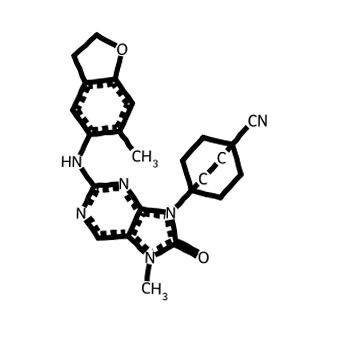 Cc1cc2c(cc1Nc1ncc3c(n1)n(C14CCC(C#N)(CC1)CC4)c(=O)n3C)CCO2